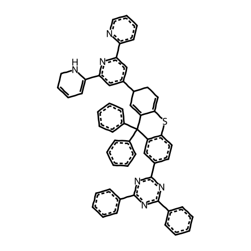 C1=CCNC(c2cc(C3C=C4C(=CC3)Sc3ccc(-c5nc(-c6ccccc6)nc(-c6ccccc6)n5)cc3C4(c3ccccc3)c3ccccc3)cc(-c3ccccn3)n2)=C1